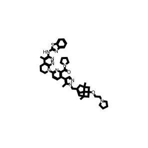 Cc1c(Nc2nc3ccccc3s2)nnc2c1CCCN2c1ccc(-c2cnn(CC34CC5(C)CC6(OCCN7CCCC7)CC(C)(C3)C56C4)c2C)c(C(=O)N2CCCC2)n1